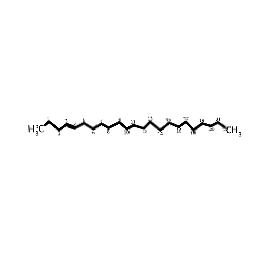 CCCC=CCCCCCCCCCCCCCCCCCC